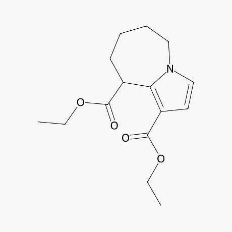 CCOC(=O)c1ccn2c1C(C(=O)OCC)CCCC2